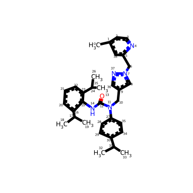 Cc1ccnc(Cn2cc(CN(C(=O)Nc3c(C(C)C)cccc3C(C)C)c3ccc(C(C)C)cc3)cn2)c1